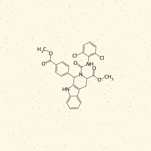 COC(=O)c1ccc(C2c3[nH]c4ccccc4c3CC(C(=O)OC)N2C(=O)Nc2c(Cl)cccc2Cl)cc1